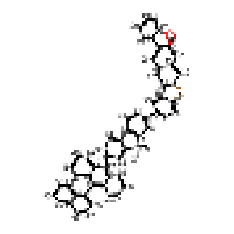 CC1(C)c2cc(-c3ccc4sc5cc6cc7oc8ccccc8c7cc6cc5c4c3)ccc2-c2ccc(-c3c4ccccc4c(-c4cccc5ccccc45)c4ccccc34)cc21